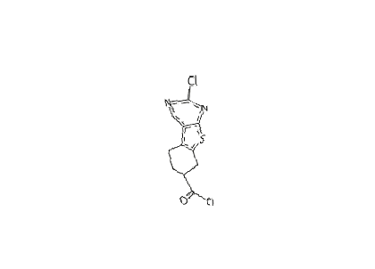 O=C(Cl)C1CCc2c(sc3nc(Cl)ncc23)C1